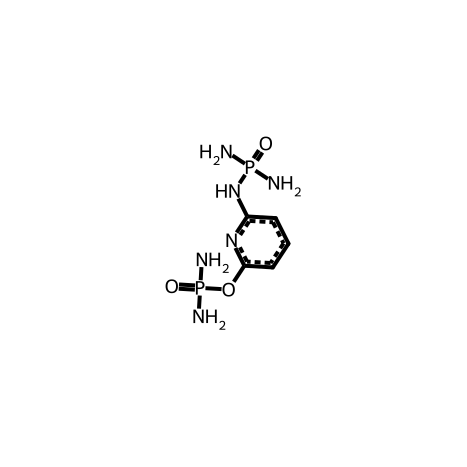 NP(N)(=O)Nc1cccc(OP(N)(N)=O)n1